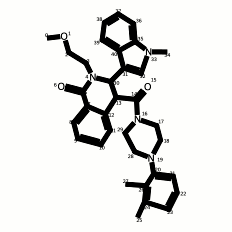 COCCN1C(=O)c2ccccc2C(C(=O)N2CCN(c3cccc(C)c3C)CC2)C1c1cn(C)c2ccccc12